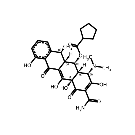 C[C@@H]1c2cccc(O)c2C(=O)C2=C(O)[C@@]3(O)C(=O)C(C(N)=O)=C(O)[C@H](N(C)C)[C@H]3[C@H](OC(=O)C3CCCC3)[C@H]21